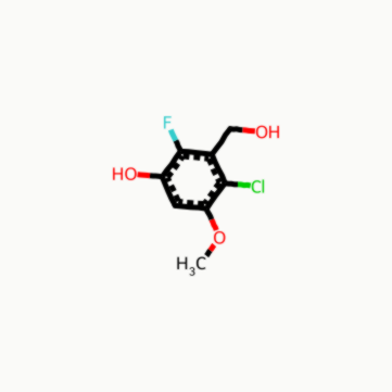 COc1cc(O)c(F)c(CO)c1Cl